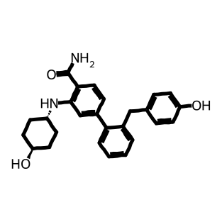 NC(=O)c1ccc(-c2ccccc2Cc2ccc(O)cc2)cc1N[C@H]1CC[C@H](O)CC1